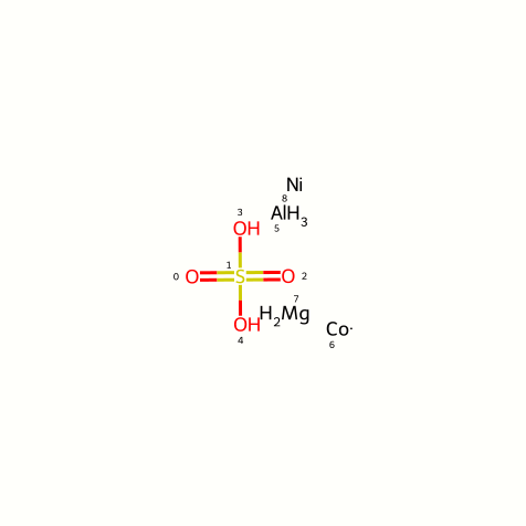 O=S(=O)(O)O.[AlH3].[Co].[MgH2].[Ni]